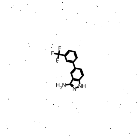 Nc1n[nH]c2ccc(-c3cccc(C(F)(F)F)c3)cc12